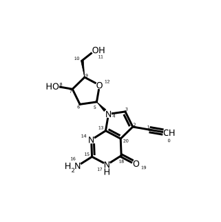 C#Cc1cn([C@H]2CC(O)[C@@H](CO)O2)c2nc(N)[nH]c(=O)c12